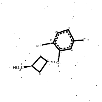 O=C(O)[C@H]1C[C@H](Oc2cc(F)ccc2F)C1